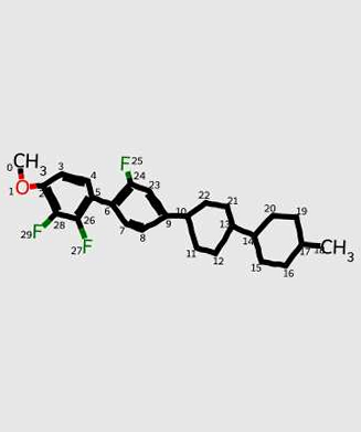 COc1ccc(-c2ccc(C3CCC(C4CCC(C)CC4)CC3)cc2F)c(F)c1F